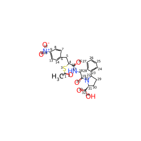 CC(=O)SC(Cc1ccc([N+](=O)[O-])cc1)C(=O)NCC(=O)N1C(c2ccccc2)CC[C@H]1C(=O)O